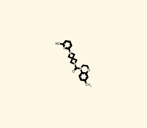 Cc1ccc2c(c1)OCCN2C(=O)N1CC2(C1)CN(c1cccc(C#N)n1)C2